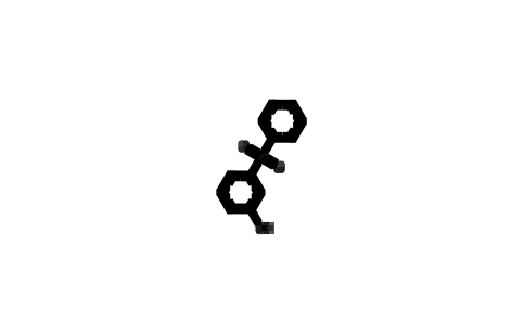 O=S(=O)(c1ccccc1)c1cccc(O)c1